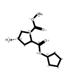 CC(C)(C)OC(=O)N1C[C@@H](N)CC1C(=O)OC1CCCC1